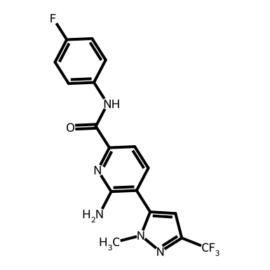 Cn1nc(C(F)(F)F)cc1-c1ccc(C(=O)Nc2ccc(F)cc2)nc1N